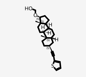 C[C@]12CC[C@H](C#Cc3cccs3)C[C@H]1CC[C@@H]1[C@@H]2CC[C@]2(C)[C@@H](OCO)CC[C@@H]12